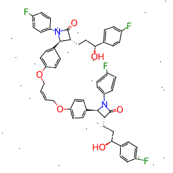 O=C1[C@H](CC[C@H](O)c2ccc(F)cc2)[C@@H](c2ccc(OC/C=C\COc3ccc([C@@H]4[C@@H](CC[C@H](O)c5ccc(F)cc5)C(=O)N4c4ccc(F)cc4)cc3)cc2)N1c1ccc(F)cc1